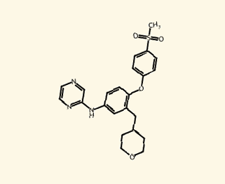 CS(=O)(=O)c1ccc(Oc2ccc(Nc3cnccn3)cc2CC2CCOCC2)cc1